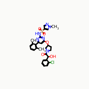 Cc1cccc(C)c1-c1cc(OC2CCN(C(=O)C(O)c3ccccc3Cl)C2)nc(NS(=O)(=O)c2cnn(C)c2)n1